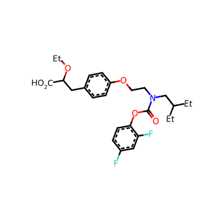 CCOC(Cc1ccc(OCCN(CC(CC)CC)C(=O)Oc2ccc(F)cc2F)cc1)C(=O)O